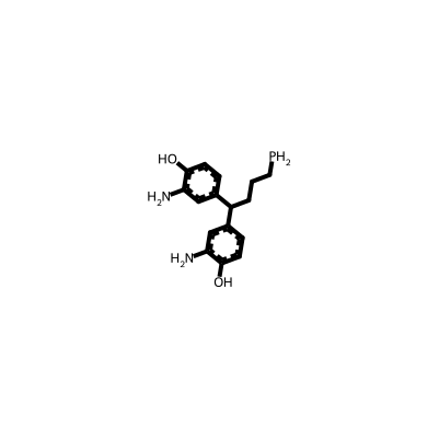 Nc1cc(C(CCCP)c2ccc(O)c(N)c2)ccc1O